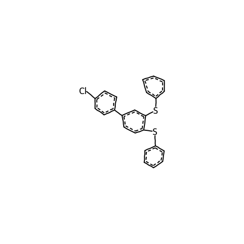 Clc1ccc(-c2ccc(Sc3ccccc3)c(Sc3ccccc3)c2)cc1